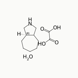 C1CCC2CNC[C@@H]2CC1.O.O=C(O)C(=O)O